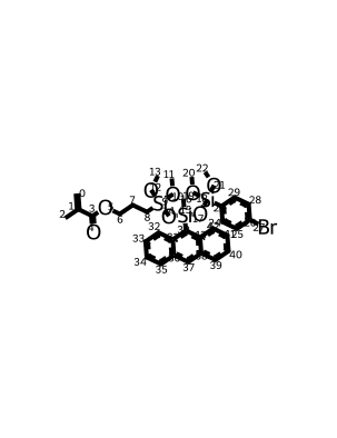 C=C(C)C(=O)OCCC[Si](OC)(OC)O[Si](C)(O[Si](OC)(OC)c1ccc(Br)cc1)c1c2ccccc2cc2ccccc12